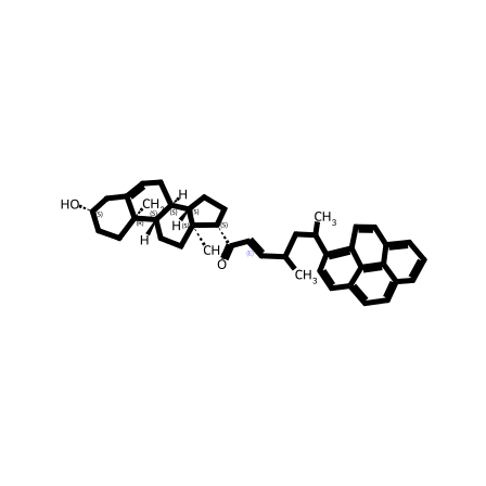 CC(/C=C/C(=O)[C@H]1CC[C@H]2[C@@H]3CC=C4C[C@@H](O)CC[C@]4(C)[C@H]3CC[C@]12C)CC(C)c1ccc2ccc3cccc4ccc1c2c34